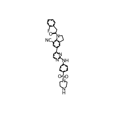 N#Cc1cc(-c2ccnc(Nc3ccc(S(=O)(=O)N4CCNCC4)cc3)n2)cc2c1N(C(=O)Cc1ccccc1F)CC2